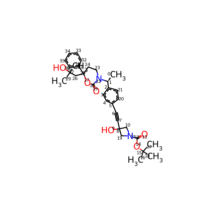 C[C@@H](c1ccc(C#CC2(O)CN(C(=O)OC(C)(C)C)C2)cc1)N1CCC(CC(C)(C)O)(c2ccccc2)OC1=O